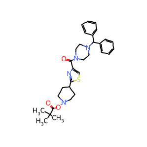 CC(C)(C)C(=O)ON1CCC(c2nc(C(=O)N3CCN(C(c4ccccc4)c4ccccc4)CC3)cs2)CC1